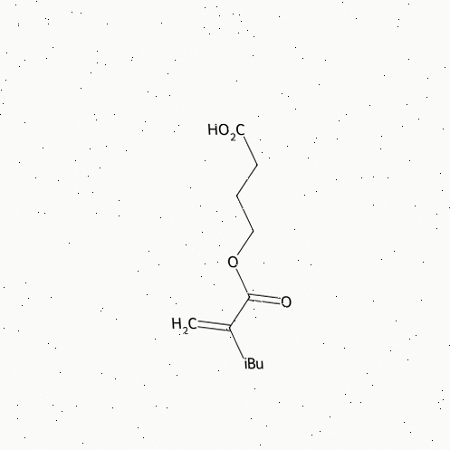 C=C(C(=O)OCCCC(=O)O)C(C)CC